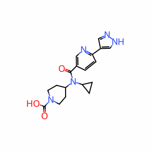 O=C(O)N1CCC(N(C(=O)c2ccc(-c3cn[nH]c3)nc2)C2CC2)CC1